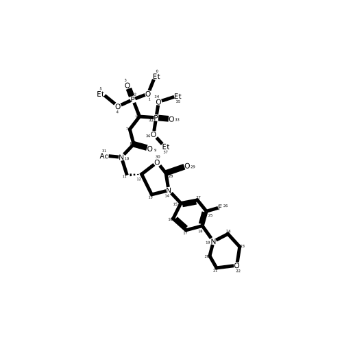 CCOP(=O)(OCC)C(CC(=O)N(C[C@H]1CN(c2ccc(N3CCOCC3)c(F)c2)C(=O)O1)C(C)=O)P(=O)(OCC)OCC